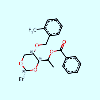 CC[C@@H]1OC[C@H](OCc2ccccc2C(F)(F)F)[C@@H](C(C)OC(=O)c2ccccc2)O1